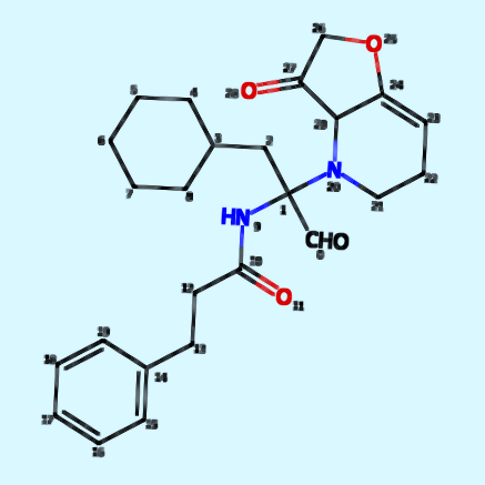 O=CC(CC1CCCCC1)(NC(=O)CCc1ccccc1)N1CCC=C2OCC(=O)C21